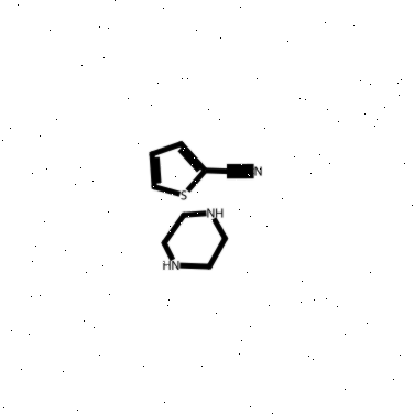 C1CNCCN1.N#Cc1cccs1